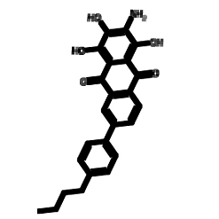 CCCCc1ccc(-c2ccc3c(c2)C(=O)c2c(O)c(O)c(N)c(O)c2C3=O)cc1